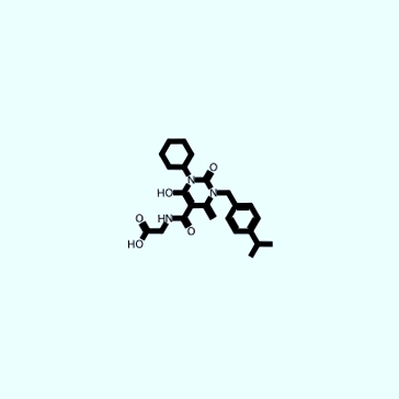 C=C1C(C(=O)NCC(=O)O)=C(O)N(C2CCCCC2)C(=O)N1Cc1ccc(C(C)C)cc1